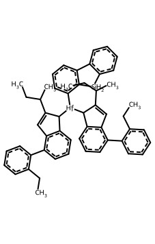 CCc1ccccc1-c1cccc2c1C=C(C(C)CC)[CH]2[Hf]([c]1cccc2c1[SiH2]c1ccccc1-2)[CH]1C(C(C)CC)=Cc2c(-c3ccccc3CC)cccc21